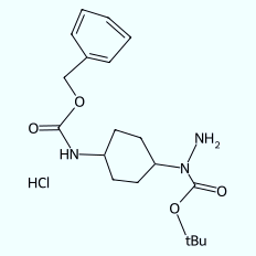 CC(C)(C)OC(=O)N(N)C1CCC(NC(=O)OCc2ccccc2)CC1.Cl